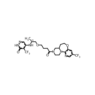 C[C@@H](COCCCC(=O)N1CCN2c3ncc(C(F)(F)F)cc3OCCC2C1)Nc1cn[nH]c(=O)c1C(F)(F)F